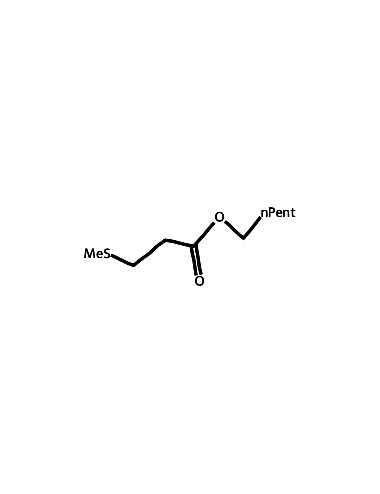 CCCCCCOC(=O)CCSC